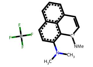 CN[C+]1C=Cc2cccc3ccc(N(C)C)c1c23.F[B-](F)(F)F